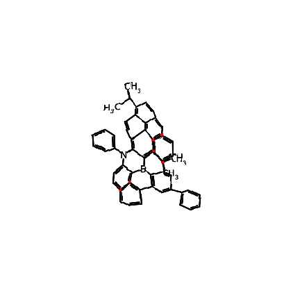 CC(C)c1ccc2ccc3c(C(C)C)c4c(c5ccc1c2c35)N(c1ccccc1)c1ccccc1B4c1c(-c2ccccc2)cc(-c2ccccc2)cc1-c1ccccc1